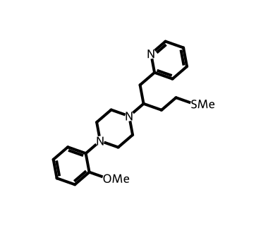 COc1ccccc1N1CCN(C(CCSC)Cc2ccccn2)CC1